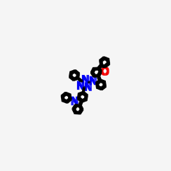 c1ccc(-c2nc(-c3ccc4c5ccccc5n(-c5ccccc5)c4c3)nc(-n3c4ccccc4c4c5oc6ccccc6c5ccc43)n2)cc1